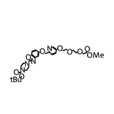 COC(=O)COCCOCCOc1ccc(COc2ccc3oc(N4CCN(C(=O)OC(C)(C)C)CC4)nc3c2)nc1